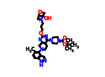 Cc1ccc2[nH]ncc2c1N1CCc2c(nc(OCCCN3CC4OC[C@]43O)nc2N2CCN(C(=O)OC(C)(C)C)CC2)C1